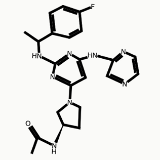 CC(=O)N[C@@H]1CCN(c2cc(Nc3cnccn3)nc(NC(C)c3ccc(F)cc3)n2)C1